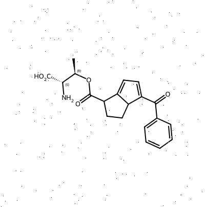 C[C@@H](OC(=O)C1CCC2C(C(=O)c3ccccc3)=CC=C12)[C@H](N)C(=O)O